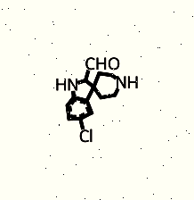 O=CC1Nc2ccc(Cl)cc2C12CCNCC2